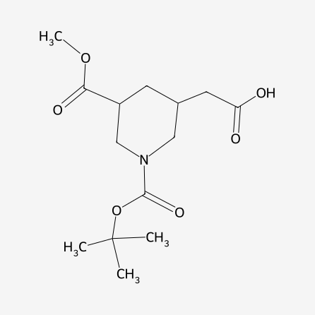 COC(=O)C1CC(CC(=O)O)CN(C(=O)OC(C)(C)C)C1